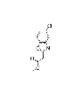 COC(=O)Cc1nc2cc(Cl)ccc2o1